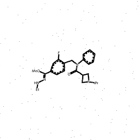 CCN/N=C(\OC)c1ccc(CN(C(=O)C2CN(C(C)C)C2)c2ccccc2)c(F)c1